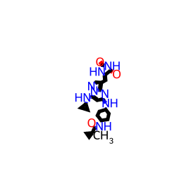 CC1(C(=O)N[C@H]2CC[C@H](Nc3cc(NC4CC4)n4ncc(/C=C5\NC(=O)NC5=O)c4n3)CC2)CC1